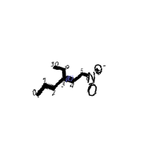 CCC/C(=C/C[N+](=O)[O-])CC